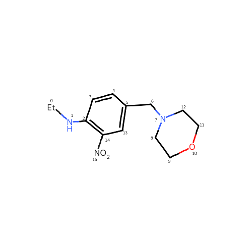 CCNc1ccc(CN2CCOCC2)cc1[N+](=O)[O-]